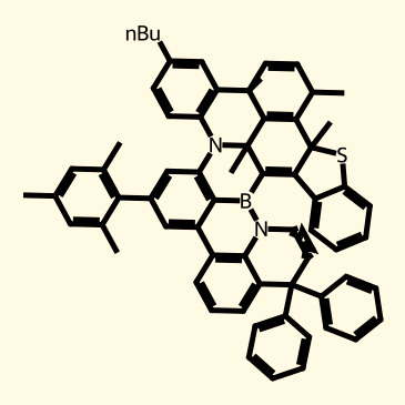 CCCCc1ccc2c(c1)C1(C)C=CC(C)C3=C1C1(C)C(=C4c5ccccc5SC43C)B3c4c(cc(-c5c(C)cc(C)cc5C)cc4N21)-c1cccc2c1N3c1ccccc1C2(c1ccccc1)c1ccccc1